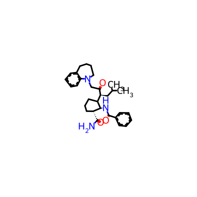 CC(C)C[C@H](C(=O)CN1CCCCc2ccccc21)C1CCC[C@@H](C(N)=O)[C@H]1NC(=O)c1ccccc1